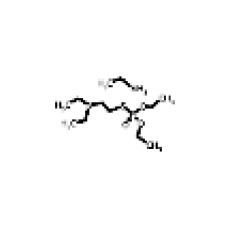 CCOP(=O)(OCC)SCCN(CC)CC.CC[SiH3]